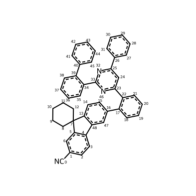 N#Cc1ccc2c(c1)C1(CCCCC1)c1ccc(-c3ccccc3-c3cc(-c4ccccc4)nc(-c4ccccc4-c4ccccc4)n3)cc1-2